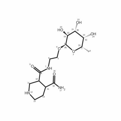 C[C@@H]1O[C@@H](OCCNC(=O)C2CNCCC2C(N)=O)[C@@H](O)[C@H](O)[C@@H]1O